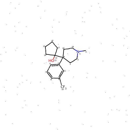 CN1CCC(c2cccc(C(F)(F)F)c2)(C2(O)CCCC2)CC1